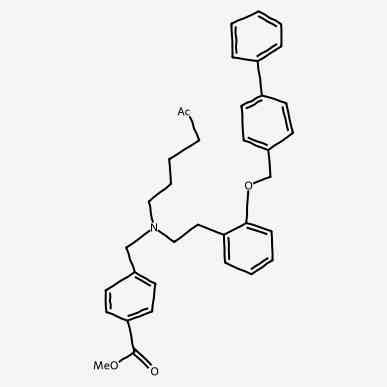 COC(=O)c1ccc(CN(CCCCC(C)=O)CCc2ccccc2OCc2ccc(-c3ccccc3)cc2)cc1